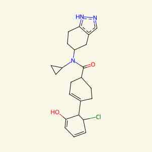 O=C(C1CC=C(C2C(O)=CC=CC2Cl)CC1)N(C1CC1)C1CCc2[nH]ncc2C1